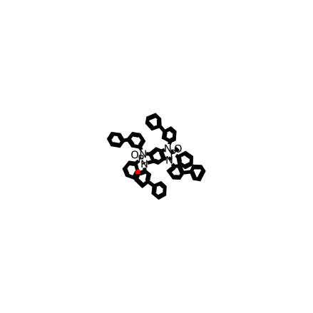 O=P1(c2ccccc2)N(c2cccc(-c3ccccc3)c2)c2cc3c(cc2N1c1cccc(-c2ccccc2)c1)N(c1cccc(-c2ccccc2)c1)P(=O)(c1ccccc1)N3c1cccc(-c2ccccc2)c1